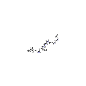 CC/C=C\C/C=C\CC\C=C/C=C/C=C/C(O)C/C=C\CCC(=O)O